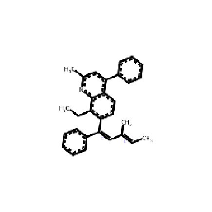 C/C=C(C)/C=C(/c1ccccc1)c1ccc2c(-c3ccccc3)cc(C)nc2c1CC